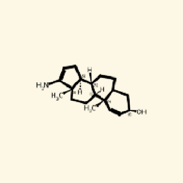 C[C@]12C=C[C@H](O)CC1CC[C@@H]1[C@@H]2CC[C@]2(C)C(N)=CC[C@@H]12